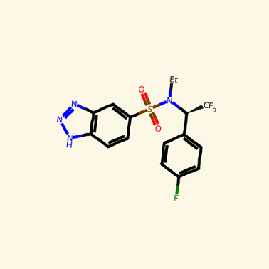 CCN([C@H](c1ccc(F)cc1)C(F)(F)F)S(=O)(=O)c1ccc2[nH]nnc2c1